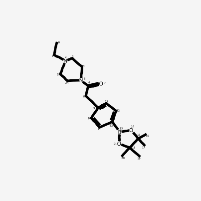 CCN1CCN(C(=O)Cc2ccc(B3OC(C)(C)C(C)(C)O3)cc2)CC1